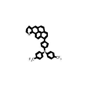 FC(F)(F)c1ccc(N(c2ccc(-c3ccc4ccc5cc6cccnc6c6ccc3c4c56)cc2)c2ccc(C(F)(F)F)cc2)cc1